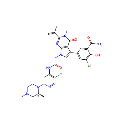 C=C(C)c1nc2c(c(-c3cc(Cl)c(O)c(C(N)=O)c3)cn2CC(=O)Nc2cc(N3CCN(C)C[C@@H]3C)ncc2Cl)c(=O)n1C